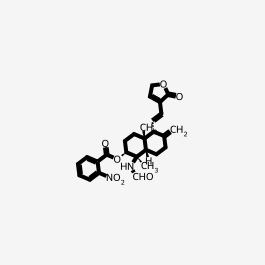 C=C1CC[C@H]2[C@](C)(CC[C@@H](OC(=O)c3ccccc3[N+](=O)[O-])[C@]2(C)NC=O)[C@@H]1C=CC1=CCOC1=O